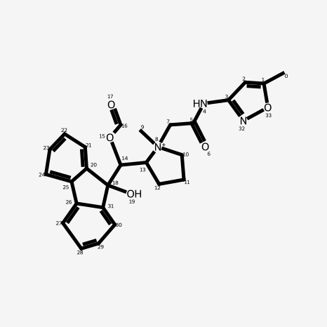 Cc1cc(NC(=O)C[N+]2(C)CCCC2C(OC=O)C2(O)c3ccccc3-c3ccccc32)no1